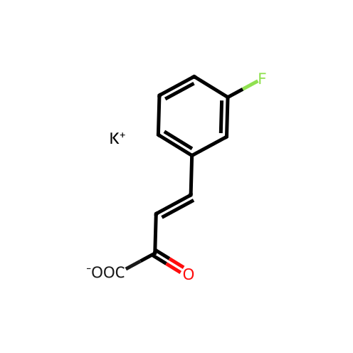 O=C([O-])C(=O)C=Cc1cccc(F)c1.[K+]